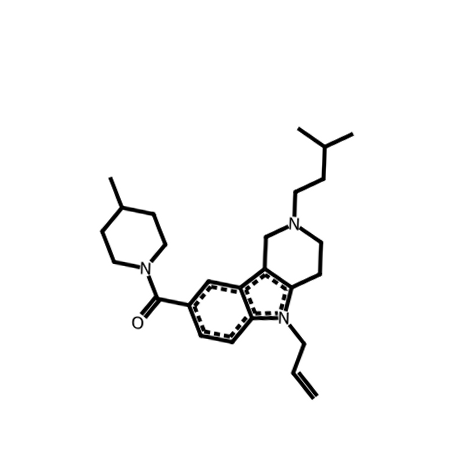 C=CCn1c2c(c3cc(C(=O)N4CCC(C)CC4)ccc31)CN(CCC(C)C)CC2